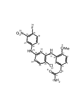 COc1ccc(OC(N)=O)cc1Nc1nc(Nc2ccc(F)c([N+](=O)[O-])c2)ncc1Cl